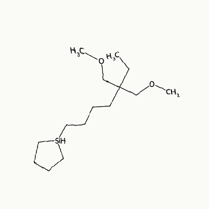 CCC(CCCC[SiH]1CCCC1)(COC)COC